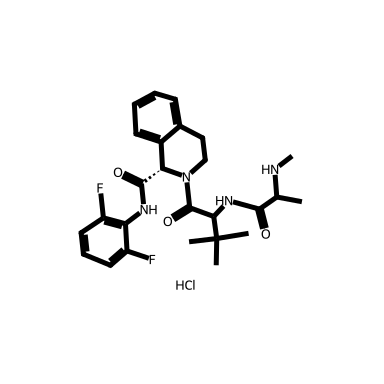 CNC(C)C(=O)NC(C(=O)N1CCc2ccccc2[C@H]1C(=O)Nc1c(F)cccc1F)C(C)(C)C.Cl